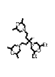 [CH2]C(CCN1CC(C)OC(C)C1)(CCN1CC(C)OC(C)C1)N1CC(CC)OC(CC)C1